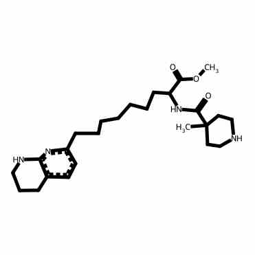 COC(=O)C(CCCCCCCc1ccc2c(n1)NCCC2)NC(=O)C1(C)CCNCC1